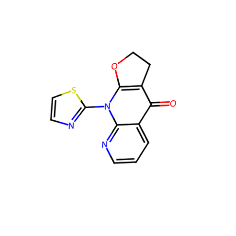 O=c1c2c(n(-c3nccs3)c3ncccc13)OCC2